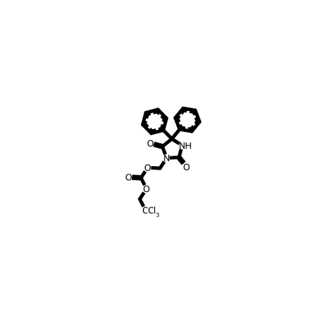 O=C(OCN1C(=O)NC(c2ccccc2)(c2ccccc2)C1=O)OCC(Cl)(Cl)Cl